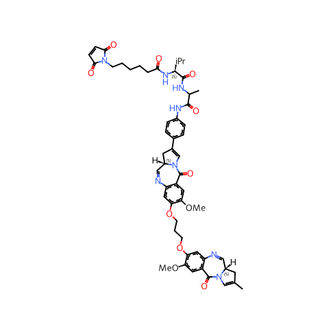 COc1cc2c(cc1OCCCOc1cc3c(cc1OC)C(=O)N1C=C(c4ccc(NC(=O)C(C)NC(=O)[C@@H](NC(=O)CCCCCN5C(=O)C=CC5=O)C(C)C)cc4)C[C@H]1C=N3)N=C[C@@H]1CC(C)=CN1C2=O